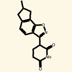 CC1Cc2ccc3c(C4CCC(=O)NC4=O)noc3c2C1